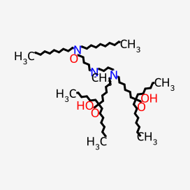 CCCCCCCCCCN(CCCCCCCCCC)C(=O)CCCCN(C)CCCCN(CCCCCCC(CCCCCC)(CCCCCCCC)C(=O)O)CCCCCCC(CCCCCC)(CCCCCCCC)C(=O)O